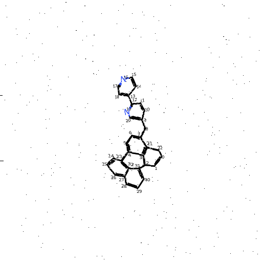 C1=CC2c3c(ccc(Cc4ccc(-c5ccncc5)nc4)c3C1)-c1cccc3cccc2c13